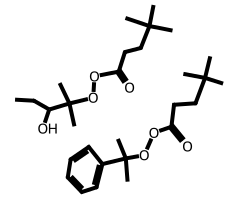 CC(C)(C)CCC(=O)OOC(C)(C)c1ccccc1.CCC(O)C(C)(C)OOC(=O)CCC(C)(C)C